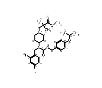 COC(=O)C(C)(C)CN1CCC(N(Cc2ccc(F)cc2F)C(=O)OCc2ccc(OC(C)C)cc2)CC1